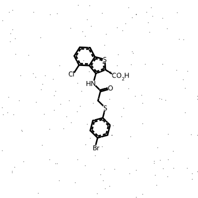 O=C(CSc1ccc(Br)cc1)Nc1c(C(=O)O)sc2cccc(Cl)c12